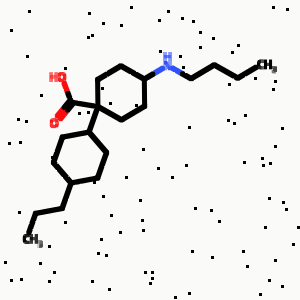 CCCCNC1CCC(C(=O)O)(C2CCC(CCC)CC2)CC1